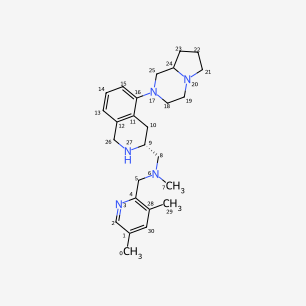 Cc1cnc(CN(C)C[C@H]2Cc3c(cccc3N3CCN4CCCC4C3)CN2)c(C)c1